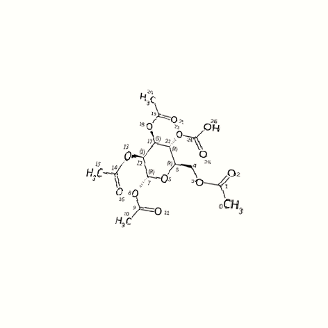 CC(=O)OC[C@H]1O[C@H](OC(C)=O)[C@@H](OC(C)=O)[C@@H](OC(C)=O)[C@@H]1OC(=O)O